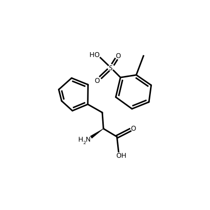 Cc1ccccc1S(=O)(=O)O.N[C@@H](Cc1ccccc1)C(=O)O